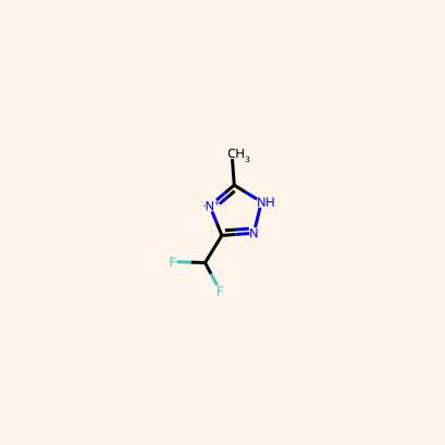 CC1=[N+]C(C(F)F)=NN1